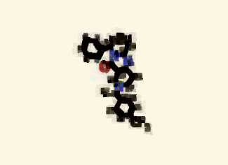 CCCCC(c1ccccc1)n1c(C)nc2c(c1=O)CN([C@@H](C)c1ccc(C(F)(F)F)cc1)CC2